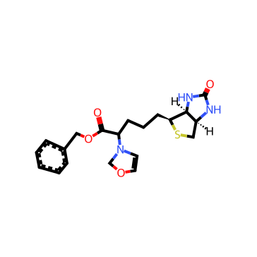 O=C1N[C@H]2[C@H](CS[C@H]2CCCC(C(=O)OCc2ccccc2)N2C=COC2)N1